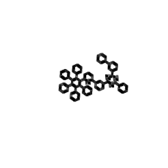 c1ccc(-c2cccc(-c3nc(-c4ccccc4)nc(-c4cccc(-c5cccc(-c6c(-c7ccccc7)c(-c7ccccc7)c(-c7ccccc7)c(-c7ccccc7)c6-c6ccccc6)n5)c4)n3)c2)cc1